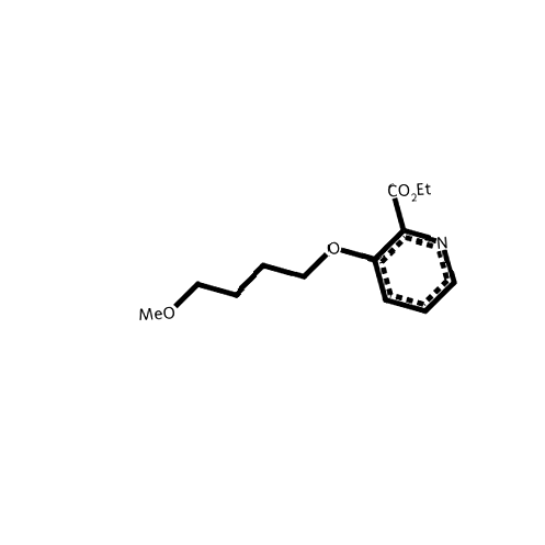 CCOC(=O)c1ncccc1OCCCCOC